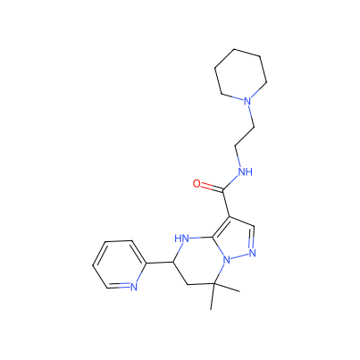 CC1(C)CC(c2ccccn2)Nc2c(C(=O)NCCN3CCCCC3)cnn21